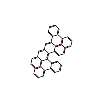 c1ccc(-c2ccccc2-c2cc3cc4ccccc4c(-c4ccccc4-c4ccccc4)c3c3ccccc23)cc1